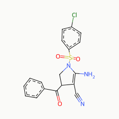 N#CC1=C(N)N(S(=O)(=O)c2ccc(Cl)cc2)CC1C(=O)c1ccccc1